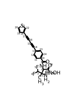 CC(N)(C(F)F)C(NC(=O)c1ccc(C#CC#Cc2ccsc2)cc1)C(=O)NO